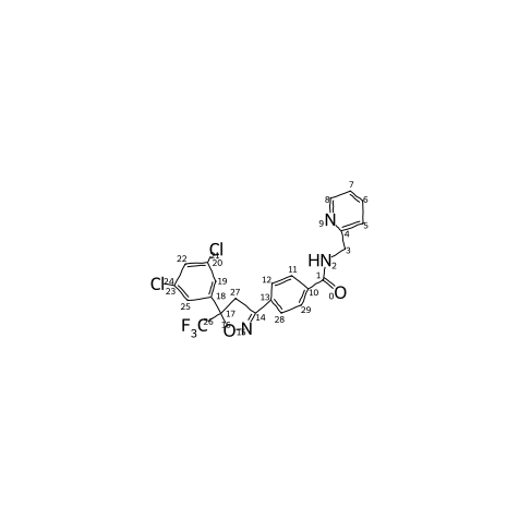 O=C(NCc1ccccn1)c1ccc(C2=NOC(c3cc(Cl)cc(Cl)c3)(C(F)(F)F)C2)cc1